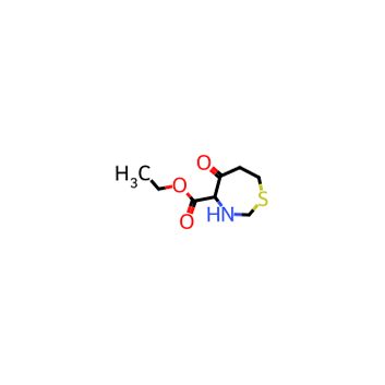 CCOC(=O)C1NCSCCC1=O